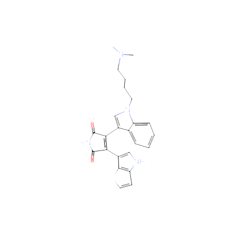 CN(C)CCCCn1cc(C2=C(c3c[nH]c4ccsc34)C(=O)NC2=O)c2ccccc21